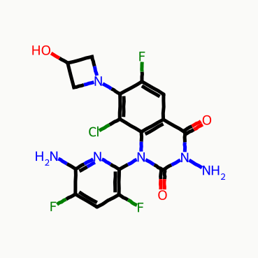 Nc1nc(-n2c(=O)n(N)c(=O)c3cc(F)c(N4CC(O)C4)c(Cl)c32)c(F)cc1F